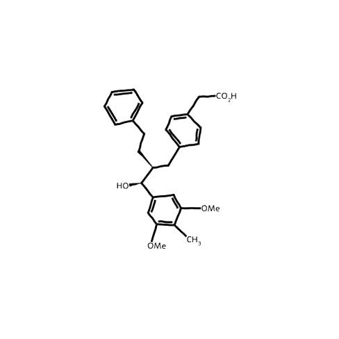 COc1cc([C@@H](O)[C@@H](CCc2ccccc2)Cc2ccc(CC(=O)O)cc2)cc(OC)c1C